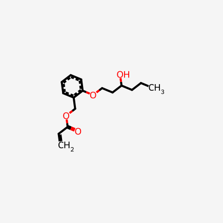 C=CC(=O)OCc1ccccc1OCCC(O)CCC